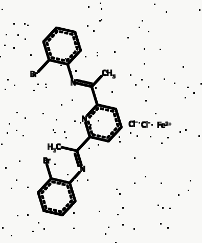 CC(=Nc1ccccc1Br)c1cccc(C(C)=Nc2ccccc2Br)n1.[Cl-].[Cl-].[Fe+2]